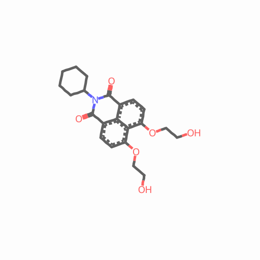 O=C1c2ccc(OCCO)c3c(OCCO)ccc(c23)C(=O)N1C1CCCCC1